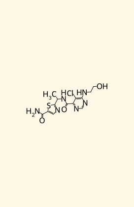 CC(NC(=O)c1ncnc(NCCO)c1Cl)c1ncc(C(N)=O)s1